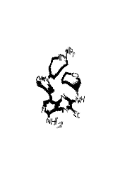 CCc1nc2c(N)ncc(-c3cnn(C4CCN(C(C)C)CC4)c3)c2nc1N[C@@H]1CCOC1